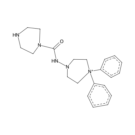 O=C(NN1CC[N+](c2ccccc2)(c2ccccc2)CC1)N1CCNCC1